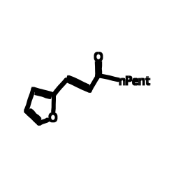 CCCCCC(=O)/C=C/c1ccco1